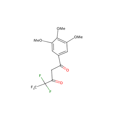 COc1cc(C(=O)CC(=O)C(F)(F)C(F)(F)F)cc(OC)c1OC